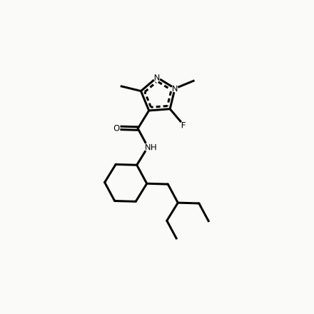 CCC(CC)CC1CCCCC1NC(=O)c1c(C)nn(C)c1F